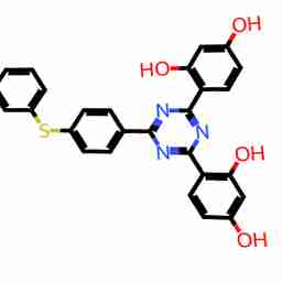 Oc1ccc(-c2nc(-c3ccc(Sc4ccccc4)cc3)nc(-c3ccc(O)cc3O)n2)c(O)c1